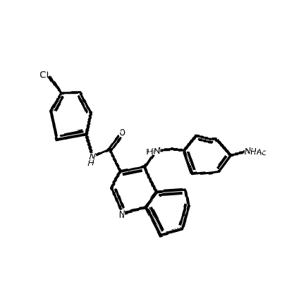 CC(=O)Nc1ccc(Nc2c(C(=O)Nc3ccc(Cl)cc3)cnc3ccccc23)cc1